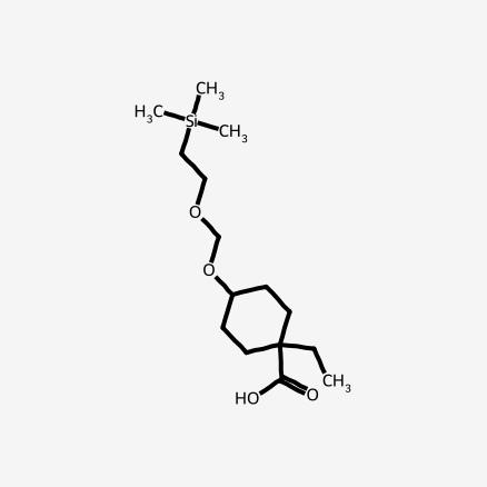 CCC1(C(=O)O)CCC(OCOCC[Si](C)(C)C)CC1